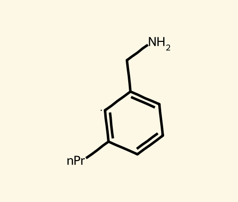 CCCc1[c]c(CN)ccc1